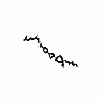 CCCCCCCC[C@]1(C#N)CC[C@H](c2ccc(-c3ccc(C(=O)OCC[C@H](C)CCCC(C)C)cc3)cc2)CC1